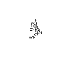 CC(C)(O)[C@H]1CC[C@H](Nc2ncc3nc(Nc4c(F)cc(F)cc4F)n([C@H]4CCOC4)c3n2)CC1